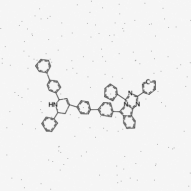 C1=C(c2ccc(-c3ccc(-c4c5ccccc5c5nc(-c6ccccc6)nc(-c6ccccc6)n45)cc3)cc2)CC(c2ccccc2)NC1c1ccc(-c2ccccc2)cc1